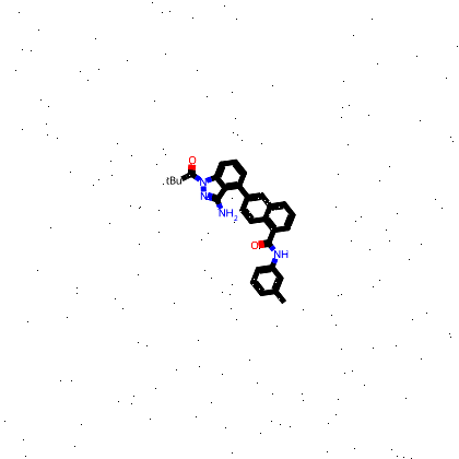 Cc1cccc(NC(=O)c2cccc3cc(-c4cccc5c4c(N)nn5C(=O)C(C)(C)C)ccc23)c1